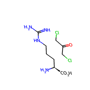 N=C(N)NCCC[C@H](N)C(=O)O.O=C(CCl)CCl